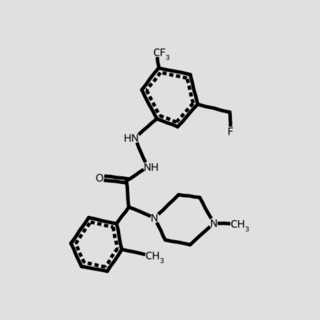 Cc1ccccc1C(C(=O)NNc1cc(CF)cc(C(F)(F)F)c1)N1CCN(C)CC1